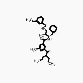 CCCC(CCC)C(=O)c1cc(C)cc(C(=O)N[C@@H](Cc2ccccc2)[C@@H](O)CNCc2cccc(CC)c2)c1